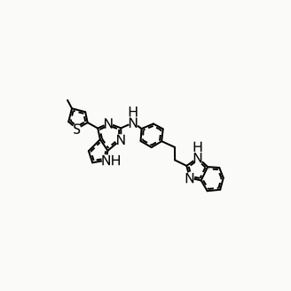 Cc1csc(-c2nc(Nc3ccc(CCc4nc5ccccc5[nH]4)cc3)nc3[nH]ccc23)c1